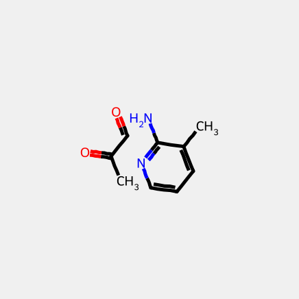 CC(=O)C=O.Cc1cccnc1N